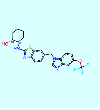 O[C@@H]1CCCC[C@H]1Nc1nc2ccc(Cn3cnc4cc(OC(F)(F)F)ccc43)cc2s1